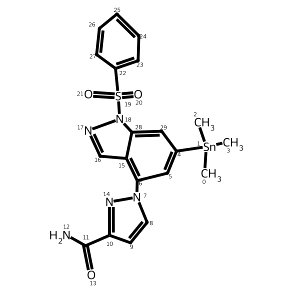 [CH3][Sn]([CH3])([CH3])[c]1cc(-n2ccc(C(N)=O)n2)c2cnn(S(=O)(=O)c3ccccc3)c2c1